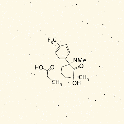 CCC(=O)O.CN[C@@]1(c2ccc(C(F)(F)F)cc2)CCC[C@](C)(O)C1=O